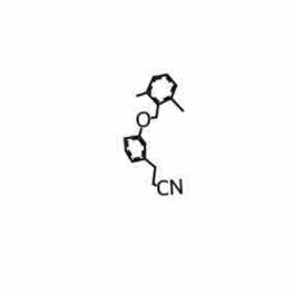 Cc1cccc(C)c1COc1cccc(CCC#N)c1